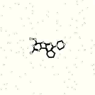 CCOC1=NC(Cl)=NC2c3c(nc(N4CCOCC4)c4c3CCCC4)SC12